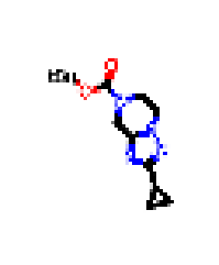 CC(C)(C)OC(=O)N1CCn2nc(C3CC3)nc2C1